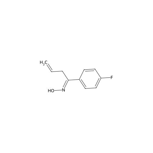 C=CCC(=NO)c1ccc(F)cc1